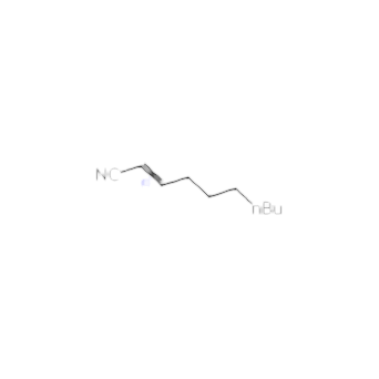 CCCCCCC/C=C/C#N